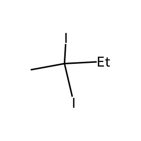 [CH2]CC(C)(I)I